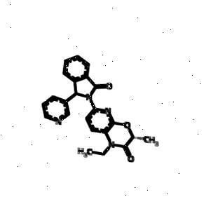 CCN1C(=O)[C@@H](C)Oc2nc(N3C(=O)c4ccccc4C3c3cccnc3)ccc21